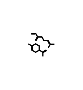 C=C(C)C1CC=C(C)CC1.C=CC(=C)CCC=C(C)C